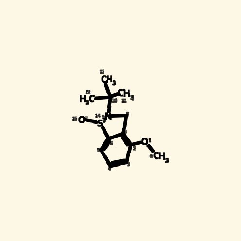 COc1cccc2c1CN(C(C)(C)C)[S+]2[O-]